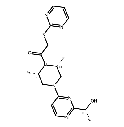 C[C@@H]1CN(c2ccnc([C@@H](C)O)n2)C[C@H](C)N1C(=O)CSc1ncccn1